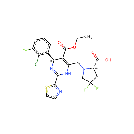 CCOC(=O)C1=C(CN2CC(F)(F)C[C@H]2C(=O)O)NC(c2nccs2)=N[C@H]1c1cccc(F)c1Cl